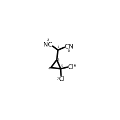 N#CC(C#N)C1CC1(Cl)Cl